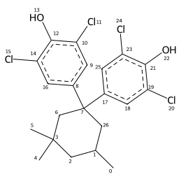 CC1CC(C)(C)CC(c2cc(Cl)c(O)c(Cl)c2)(c2cc(Cl)c(O)c(Cl)c2)C1